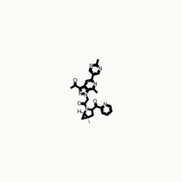 CC(=O)c1nn(CC(=O)N2C(C(=O)c3ccccn3)C[C@@]3(C)C[C@@H]23)c2c(C)nc(-c3cnc(C)nc3)cc12